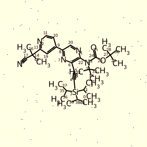 CC(C)[Si](C#Cc1nc(-c2ccnc(C(C)(C)C#N)c2)cnc1N(C(=O)OC(C)(C)C)C(C)(C)C)(C(C)C)C(C)C